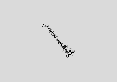 CC(=O)CCOCCOCCOCCOCCNC(=O)CCN1C(=O)CC(C)C1=O